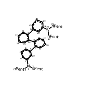 CCCCCN(CCCCC)c1cccc(-c2ccccc2-c2ccccc2-c2cccc(N(CCCCC)CCCCC)c2)c1